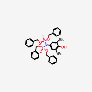 CC(C)(C)c1cc(N(P(=O)(OCc2ccccc2)OCc2ccccc2)P(=O)(OCc2ccccc2)OCc2ccccc2)cc(C(C)(C)C)c1O